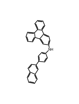 c1ccc2cc(-c3ccc(Nc4ccc5c6ccccc6c6ccccc6c5c4)cc3)ccc2c1